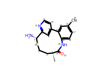 C[C@@H]1CCC[C@H](N)c2cc(ccn2)-c2cc(C#N)ccc2NC1=O